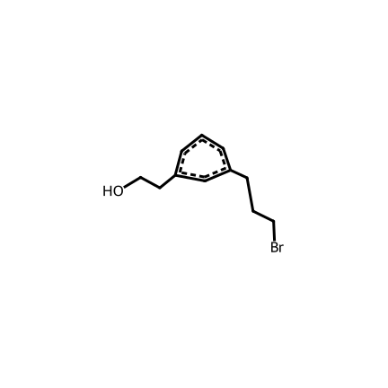 OCCc1cccc(CCCBr)c1